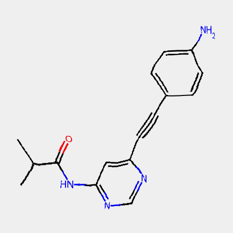 CC(C)C(=O)Nc1cc(C#Cc2ccc(N)cc2)ncn1